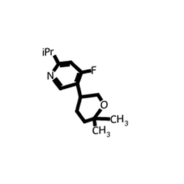 CC(C)c1cc(F)c(C2CCC(C)(C)OC2)cn1